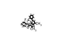 Cc1nc2c(C)cc(-c3ccccc3C(F)(F)F)nn2c1C(=O)Nc1ccncn1